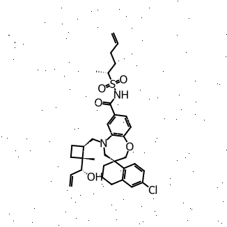 C=CCC[C@@H](C)S(=O)(=O)NC(=O)c1ccc2c(c1)N(C[C@@H]1CC[C@@]1(C)[C@H](O)C=C)C[C@@]1(CCCc3cc(Cl)ccc31)CO2